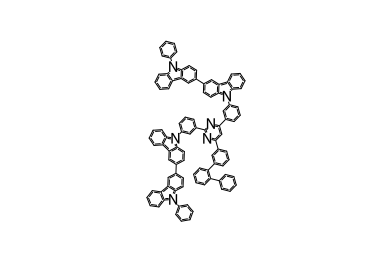 c1ccc(-c2ccccc2-c2cccc(-c3cc(-c4cccc(-n5c6ccccc6c6cc(-c7ccc8c(c7)c7ccccc7n8-c7ccccc7)ccc65)c4)nc(-c4cccc(-n5c6ccccc6c6cc(-c7ccc8c(c7)c7ccccc7n8-c7ccccc7)ccc65)c4)n3)c2)cc1